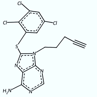 C#CCCCn1c(Sc2cc(Cl)cc(Cl)c2Cl)nc2c(N)ncnc21